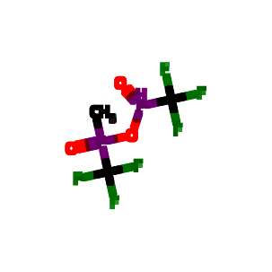 CP(=O)(O[PH](=O)C(F)(F)F)C(F)(F)F